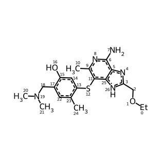 CCOCc1nc2c(N)nc(C)c(Sc3cc(O)c(CN(C)C)cc3C)c2[nH]1